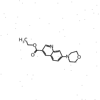 CCOC(=O)c1cnc2cc(N3CCOCC3)ccc2c1